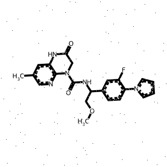 COCC(NC(=O)N1CC(=O)Nc2cc(C)cnc21)c1ccc(-n2cccc2)c(F)c1